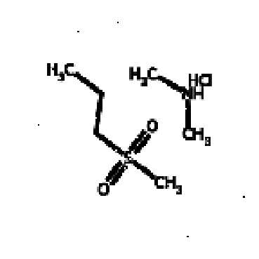 CCCS(C)(=O)=O.CNC.Cl